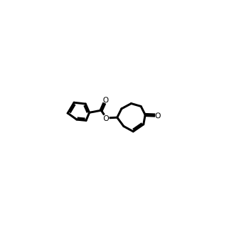 O=C1C=CCC(OC(=O)c2ccccc2)CCC1